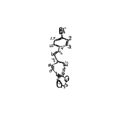 Brc1ccc(C=Cc2ccc3c(c2)OCO3)cc1